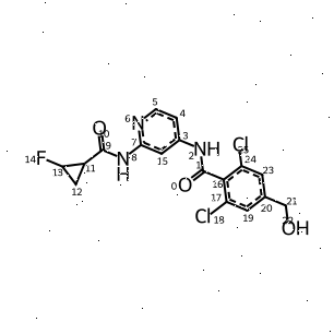 O=C(Nc1ccnc(NC(=O)C2CC2F)c1)c1c(Cl)cc(CO)cc1Cl